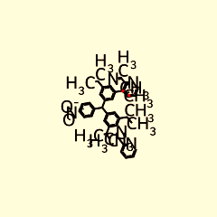 CC(=Nc1c(C(C)C)cc(C(c2ccc([N+](=O)[O-])cc2)c2cc(C(C)C)c(N=C(C)c3ccccn3)c(C(C)C)c2)cc1C(C)C)c1ccccn1